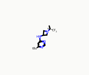 C[C@@H](N1CC(Nc2cc(C(C)(C)C)ncn2)C1)C(F)(F)F